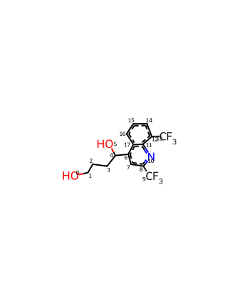 OCCCC(O)c1cc(C(F)(F)F)nc2c(C(F)(F)F)cccc12